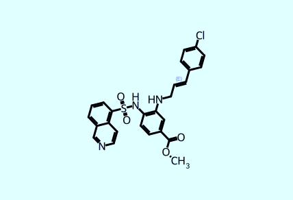 COC(=O)c1ccc(NS(=O)(=O)c2cccc3cnccc23)c(NC/C=C/c2ccc(Cl)cc2)c1